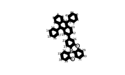 c1ccc(-c2c3ccccc3c(-c3ccccc3)c3cc(-c4ccc5c(c4)Oc4cccc6c4B5c4ccccc4O6)ccc23)cc1